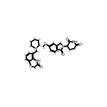 O=C1CCC(N2Cc3cc(OC[C@H]4CCCCN4Cc4cccc5c4NC(=O)CO5)ccc3C2=O)C(=O)N1